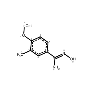 CCCCCCCCOc1ccc(C(N)=NO)cc1C(F)(F)F